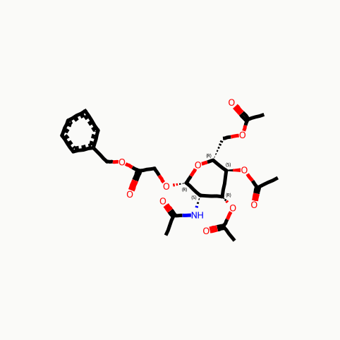 CC(=O)N[C@@H]1[C@H](OCC(=O)OCc2ccccc2)O[C@H](COC(C)=O)[C@@H](OC(C)=O)[C@@H]1OC(C)=O